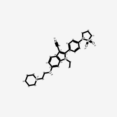 CCn1c(-c2ccc(N3CCCS3(=O)=O)cc2)c(C#N)c2ccc(OCCN3CCCCC3)cc21